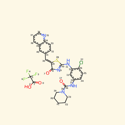 O=C(O)C(F)(F)F.O=C1N=C(Nc2cc(NC(=O)N3CCCCC3)ccc2Cl)S/C1=C\c1ccc2ncccc2c1